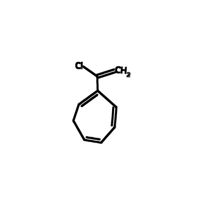 C=C(Cl)C1=CCC=CC=C1